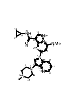 CNc1cc(-n2cc(N3CCN(C)CC3)c3ncccc32)nc2c(C(=O)NC3CC3)cnn12